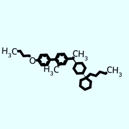 CCCCCC1([C@H]2CC[C@H](C(C)c3ccc(-c4ccc(OCCCC)cc4)c(C)c3)CC2)CCCCC1